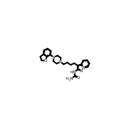 NC(=O)Nc1nn2ccccc2c1CCCCN1CCN(c2cccc3c2OCC3)CC1